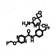 C[C@@]1(c2cc(NC(=O)c3cnc(OCF)cn3)ccc2F)CC2(COC2)OC(N)=N1